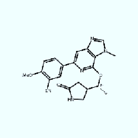 COc1ccc(-c2cc3ncn(C)c3c(O[C@H](C)C3CNC(=O)C3)n2)cc1C#N